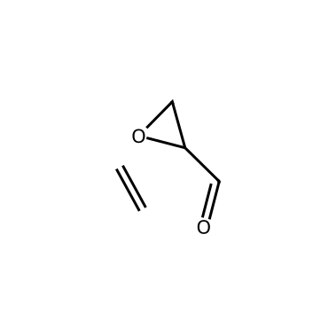 C=C.O=CC1CO1